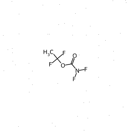 CC(F)(F)OC(=O)N(F)F